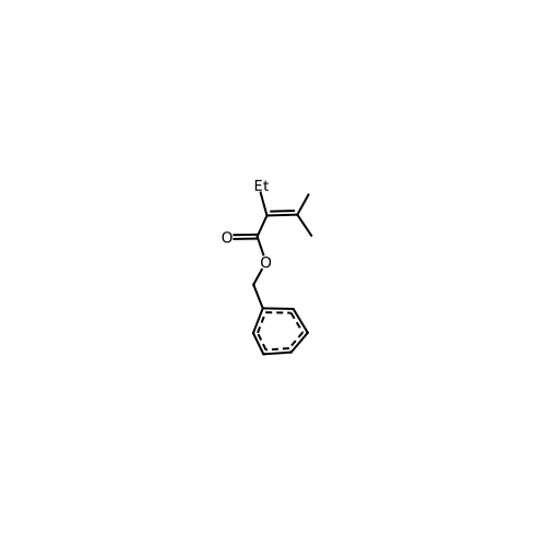 CCC(C(=O)OCc1ccccc1)=C(C)C